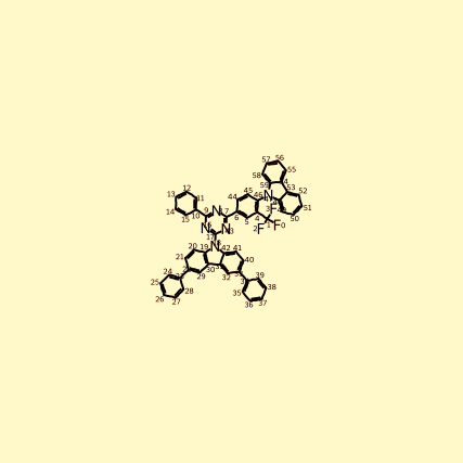 FC(F)(F)c1cc(-c2nc(-c3ccccc3)nc(-n3c4ccc(-c5ccccc5)cc4c4cc(-c5ccccc5)ccc43)n2)ccc1-n1c2ccccc2c2ccccc21